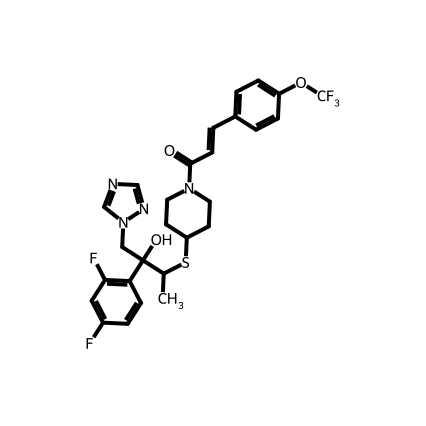 CC(SC1CCN(C(=O)C=Cc2ccc(OC(F)(F)F)cc2)CC1)C(O)(Cn1cncn1)c1ccc(F)cc1F